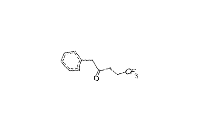 O=C(CCC(F)(F)F)Cc1ccccc1